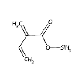 C=CC(=C)C(=O)O[SiH3]